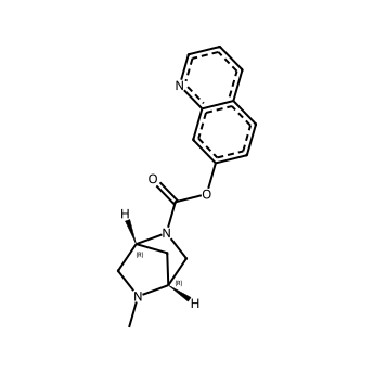 CN1C[C@H]2C[C@@H]1CN2C(=O)Oc1ccc2cccnc2c1